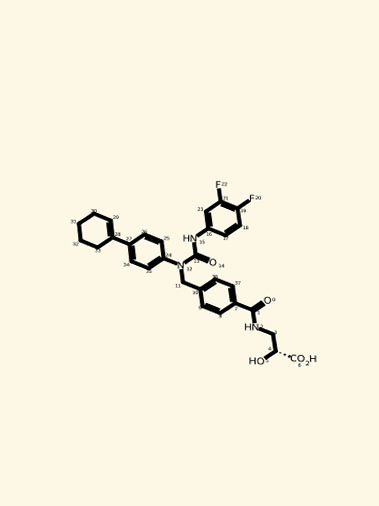 O=C(NC[C@@H](O)C(=O)O)c1ccc(CN(C(=O)Nc2ccc(F)c(F)c2)c2ccc(C3=CCCCC3)cc2)cc1